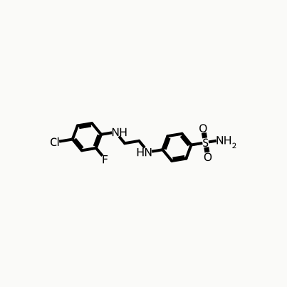 NS(=O)(=O)c1ccc(NCCNc2ccc(Cl)cc2F)cc1